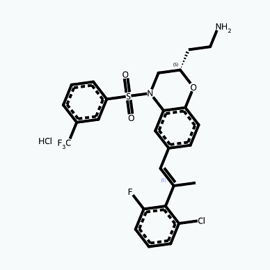 C/C(=C\c1ccc2c(c1)N(S(=O)(=O)c1cccc(C(F)(F)F)c1)C[C@H](CCN)O2)c1c(F)cccc1Cl.Cl